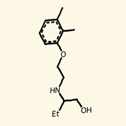 CCC(CO)NCCOc1cccc(C)c1C